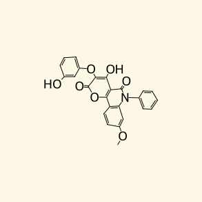 COc1ccc2c3oc(=O)c(Oc4cccc(O)c4)c(O)c3c(=O)n(-c3ccccc3)c2c1